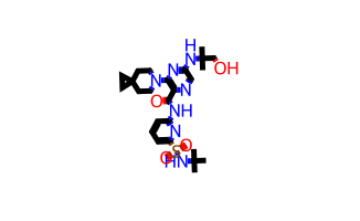 CC(C)(C)NS(=O)(=O)c1cccc(NC(=O)c2ncc(NC(C)(C)CO)nc2N2CCC3(CC2)CC3)n1